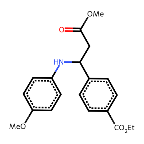 CCOC(=O)c1ccc(C(CC(=O)OC)Nc2ccc(OC)cc2)cc1